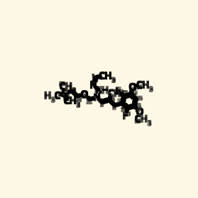 C/C=N\NN(/C=C(\C)Cc1c(F)c(OC)cc(OC)c1F)COCC[Si](C)(C)C